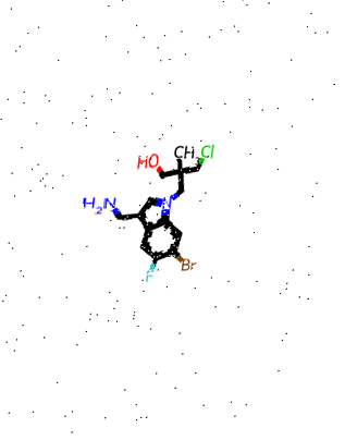 CC(CO)(CCl)Cn1cc(CN)c2cc(F)c(Br)cc21